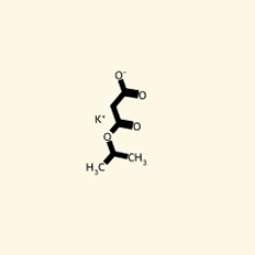 CC(C)OC(=O)CC(=O)[O-].[K+]